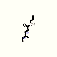 C=CCNC(=O)/C=C/C(C)=C/C